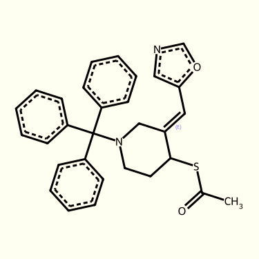 CC(=O)SC1CCN(C(c2ccccc2)(c2ccccc2)c2ccccc2)C/C1=C\c1cnco1